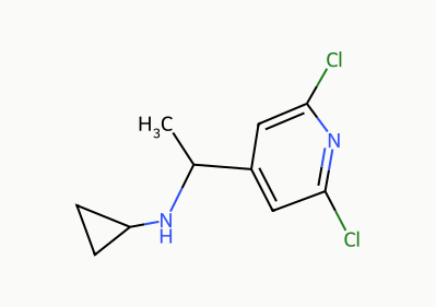 CC(NC1CC1)c1cc(Cl)nc(Cl)c1